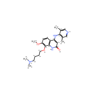 COc1ccc2c(Nc3c(C)cncc3C)cc(=O)[nH]c2c1OCCCCN(C)C